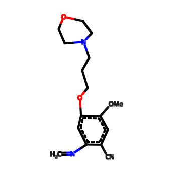 C=Nc1cc(OCCCN2CCOCC2)c(OC)cc1C#N